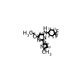 CCOc1cc(NC2CCC(F)(F)CC2)nc(-n2ccc(C)n2)n1